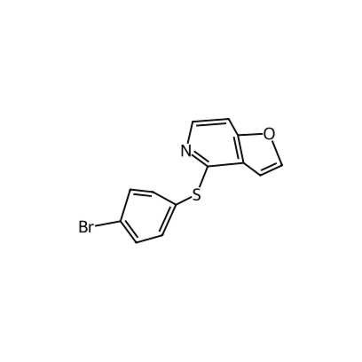 Brc1ccc(Sc2nccc3occc23)cc1